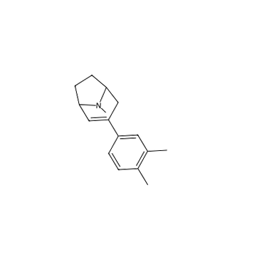 Cc1ccc(C2=CC3CCC(C2)N3C)cc1C